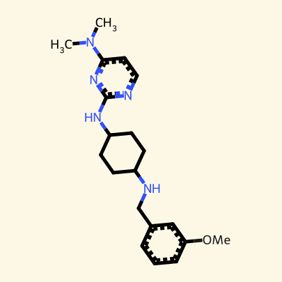 COc1cccc(CNC2CCC(Nc3nccc(N(C)C)n3)CC2)c1